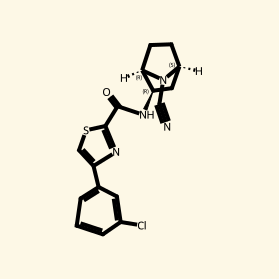 N#CN1[C@H]2CC[C@@H]1[C@H](NC(=O)c1nc(-c3cccc(Cl)c3)cs1)C2